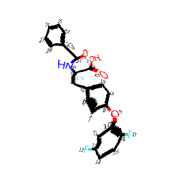 O=C(O)/C(=C\c1ccc(Oc2cc(F)ccc2F)cc1)NC(=O)c1ccccc1